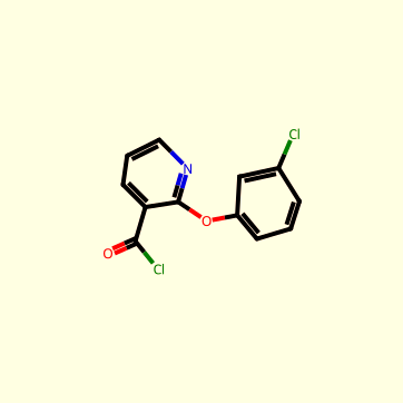 O=C(Cl)c1cccnc1Oc1cccc(Cl)c1